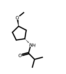 CO[C@@H]1CC[C@@H](NC(=O)C(C)C)C1